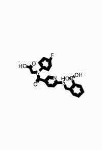 O=C(O)CN(C(=O)c1ccc(SCc2ccccc2B(O)O)nc1)c1ccc(F)cc1